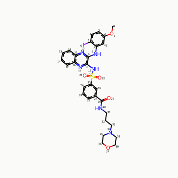 COc1ccc(I)c(Nc2nc3ccccc3nc2NS(=O)(=O)c2cccc(C(=O)NCCCN3CCOCC3)c2)c1